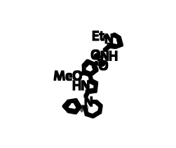 CCN1CC=CC=C1CNS(=O)(=O)c1ccc(OC)c(-c2ccc(CN3CCCCC[C@@H]3c3ccccc3)[nH]2)c1